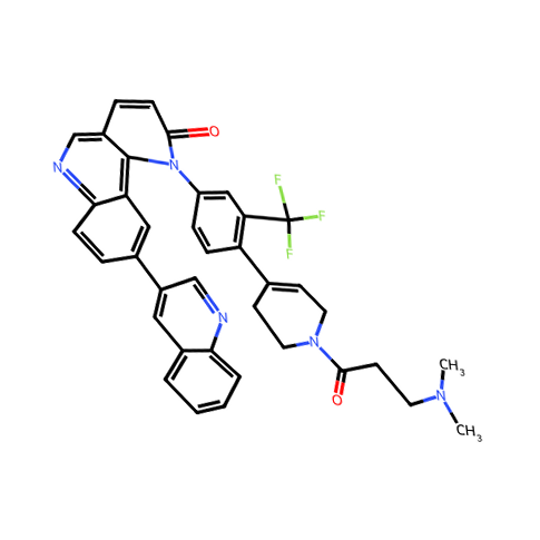 CN(C)CCC(=O)N1CC=C(c2ccc(-n3c(=O)ccc4cnc5ccc(-c6cnc7ccccc7c6)cc5c43)cc2C(F)(F)F)CC1